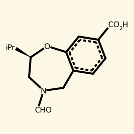 CC(C)[C@@H]1CN(C=O)Cc2ccc(C(=O)O)cc2O1